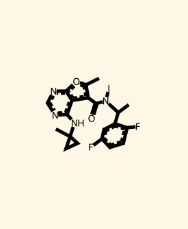 Cc1oc2ncnc(NC3(C)CC3)c2c1C(=O)N(I)C(C)c1cc(F)ccc1F